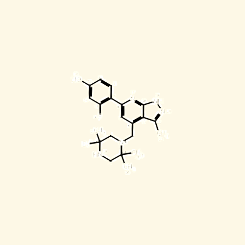 CCC1(C)CN(Cc2cc(-c3ccc(O)cc3F)nc3[nH]nc(C)c23)C(C)(C)CN1